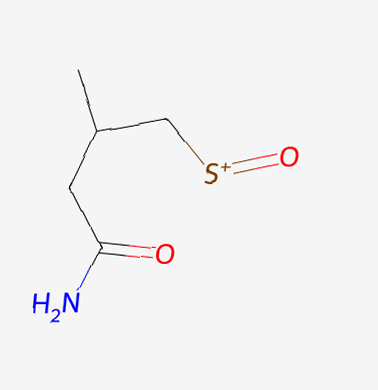 CC(C[S+]=O)CC(N)=O